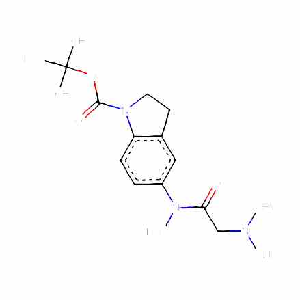 CN(C)CC(=O)N(C)c1ccc2c(c1)CCN2C(=O)OC(C)(C)C